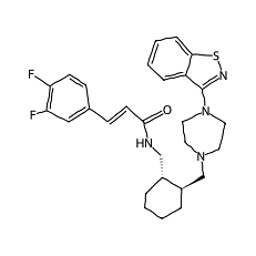 O=C(/C=C/c1ccc(F)c(F)c1)NC[C@H]1CCCC[C@@H]1CN1CCN(c2nsc3ccccc23)CC1